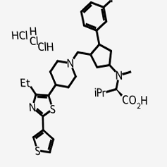 CCc1nc(-c2ccsc2)sc1C1CCN(CC2CC(N(C)[C@@H](C(=O)O)C(C)C)CC2c2cccc(F)c2)CC1.Cl.Cl.Cl